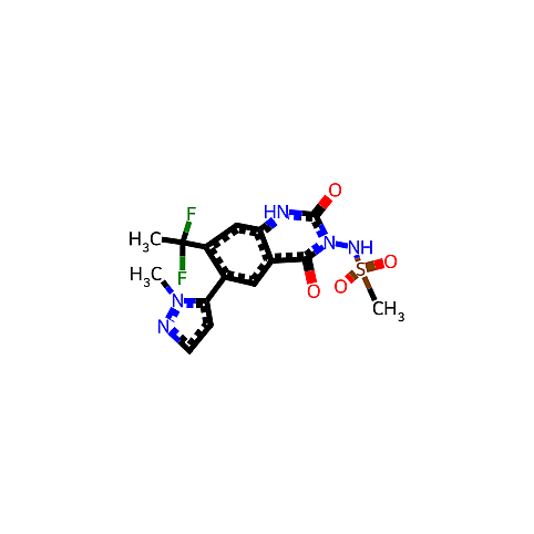 Cn1nccc1-c1cc2c(=O)n(NS(C)(=O)=O)c(=O)[nH]c2cc1C(C)(F)F